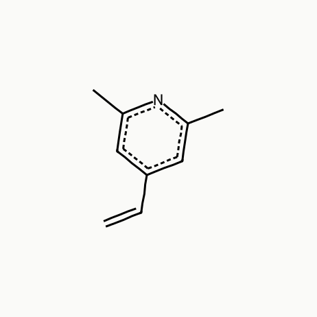 C=Cc1cc(C)nc(C)c1